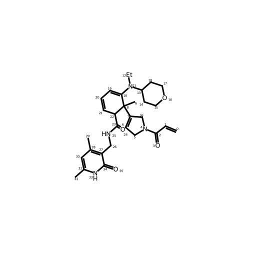 C=CC(=O)N1CC=C(C2(C)C(N(CC)C3CCOCC3)=CC=CC2C(=O)NCc2c(C)cc(C)[nH]c2=O)C1